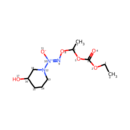 CCOC(=O)OC(C)ON=[N+]([O-])N1CCCC(O)C1